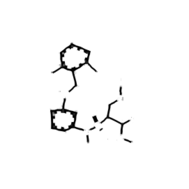 CCNCC(C(N)OCC)S(=O)(=O)N(CC)c1cccc(OCc2c(F)cccc2Cl)c1